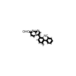 N#Cc1ccccc1-c1cc(-c2cnc3nc(C=O)ccn23)ccc1F